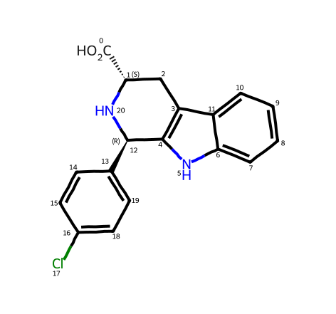 O=C(O)[C@@H]1Cc2c([nH]c3ccccc23)[C@@H](c2ccc(Cl)cc2)N1